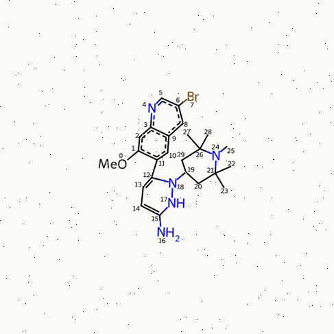 COc1cc2ncc(Br)cc2cc1C1=CC=C(N)NN1C1CC(C)(C)N(C)C(C)(C)C1